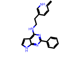 C=C/C=C\C(=C/N)CCNc1nc(-c2ccccc2)nc2[nH]ccc12